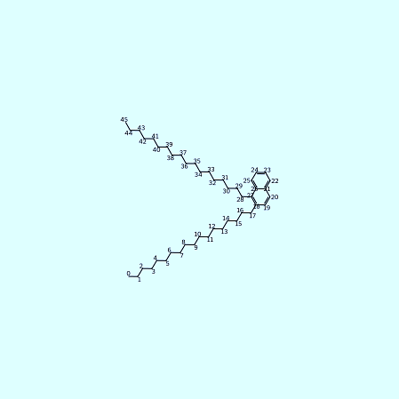 CCCCCCCCCCCCCCCCCCc1ccc2ccccc2c1CCCCCCCCCCCCCCCCCC